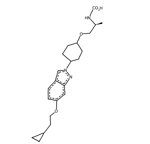 C[C@@H](COC1CCC(n2cc3ccc(OCCC4CC4)cc3n2)CC1)NC(=O)O